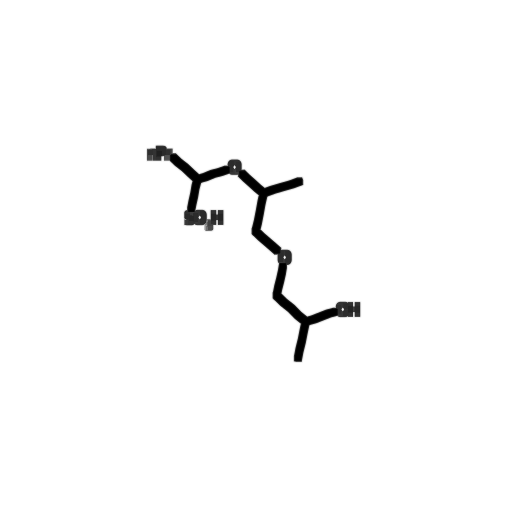 CCCC(OC(C)COCC(C)O)S(=O)(=O)O